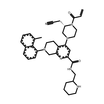 C=CC(=O)N1CCN(c2cc(C(=O)NCC3CCCCN3)nc3c2CCN(c2cccc4cccc(C)c24)C3)C[C@@H]1CC#N